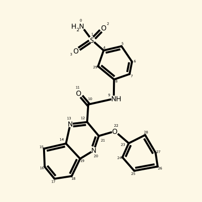 NS(=O)(=O)c1cccc(NC(=O)c2nc3ccccc3nc2Oc2ccccc2)c1